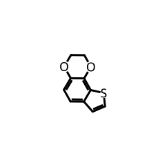 c1cc2ccc3c(c2s1)OCCO3